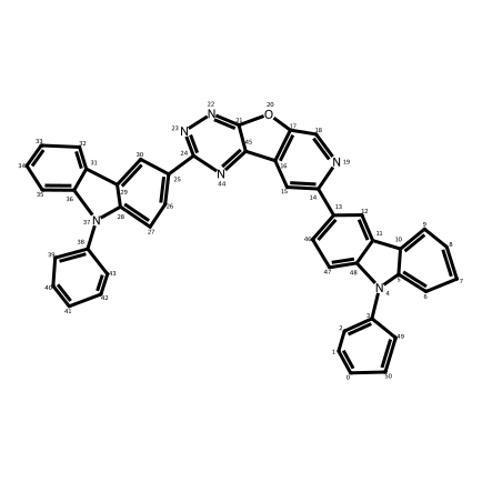 c1ccc(-n2c3ccccc3c3cc(-c4cc5c(cn4)oc4nnc(-c6ccc7c(c6)c6ccccc6n7-c6ccccc6)nc45)ccc32)cc1